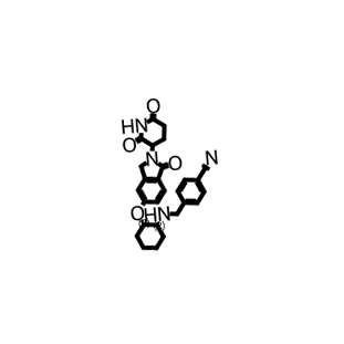 N#Cc1ccc(CN[C@@H]2CCCC[C@H]2Oc2ccc3c(c2)CN(C2CCC(=O)NC2=O)C3=O)cc1